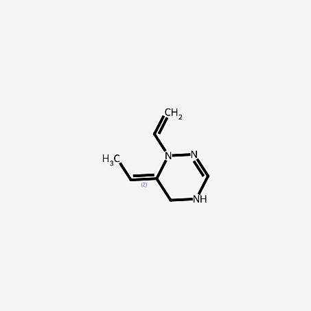 C=CN1N=CNC/C1=C/C